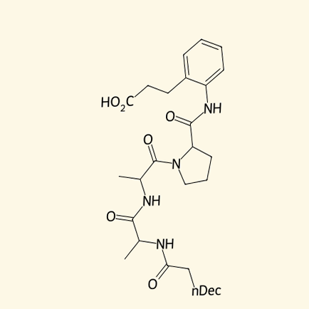 CCCCCCCCCCCC(=O)NC(C)C(=O)NC(C)C(=O)N1CCCC1C(=O)Nc1ccccc1CCC(=O)O